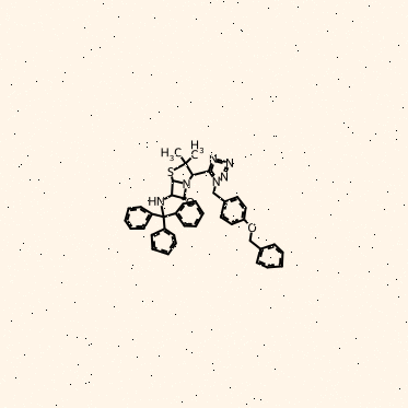 CC1(C)SC2C(NC(c3ccccc3)(c3ccccc3)c3ccccc3)C(=O)N2C1c1nnnn1Cc1ccc(OCc2ccccc2)cc1